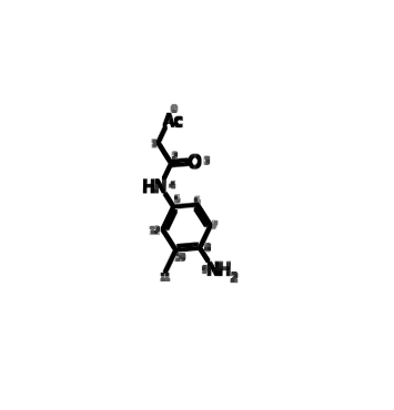 CC(=O)CC(=O)Nc1ccc(N)c(C)c1